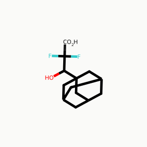 O=C(O)C(F)(F)C(O)C12CC3CC(CC(C3)C1)C2